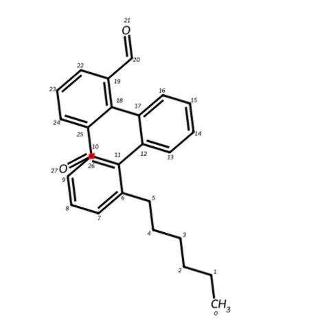 CCCCCCc1ccccc1-c1ccccc1-c1c(C=O)cccc1C=O